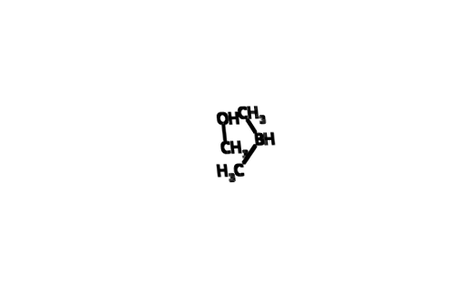 CBC.CO